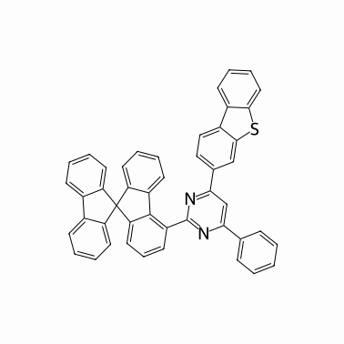 c1ccc(-c2cc(-c3ccc4c(c3)sc3ccccc34)nc(-c3cccc4c3-c3ccccc3C43c4ccccc4-c4ccccc43)n2)cc1